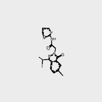 Cc1ccc2c(C(C)I)nn(CC(=O)Nc3ncccn3)c(=O)c2c1